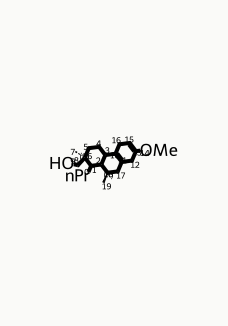 CCCC1C2C(CC[C@]1(C)CO)C1=C(CC(OC)=CC1)C[C@H]2C